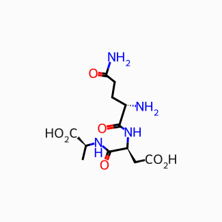 C[C@H](NC(=O)[C@H](CC(=O)O)NC(=O)[C@@H](N)CCC(N)=O)C(=O)O